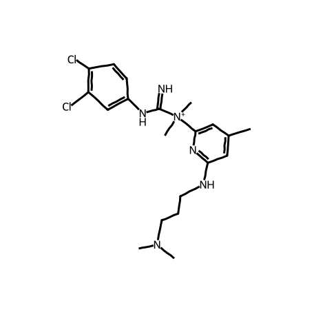 Cc1cc(NCCCN(C)C)nc([N+](C)(C)C(=N)Nc2ccc(Cl)c(Cl)c2)c1